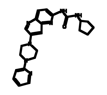 O=C(Nc1ccc2ncc(N3CCN(c4ccccn4)CC3)cc2n1)NC1CCCC1